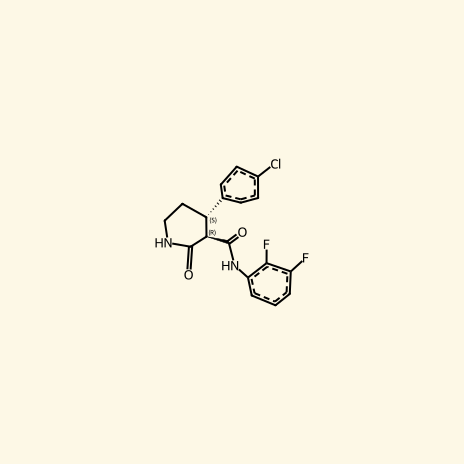 O=C1NCC[C@H](c2ccc(Cl)cc2)[C@H]1C(=O)Nc1cccc(F)c1F